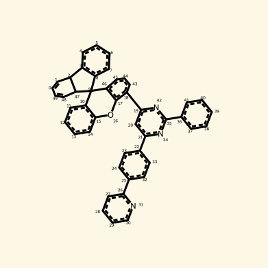 C1=CC2c3ccccc3C3(c4ccccc4Oc4c(-c5cc(-c6ccc(-c7ccccn7)cc6)nc(-c6ccccc6)n5)cccc43)C2C=C1